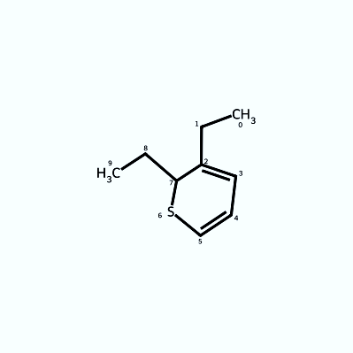 CCC1=CC=CSC1CC